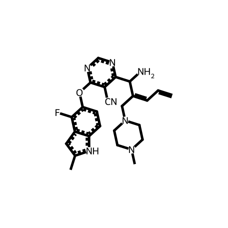 C=C/C=C(/CN1CCN(C)CC1)C(N)c1ncnc(Oc2ccc3[nH]c(C)cc3c2F)c1C#N